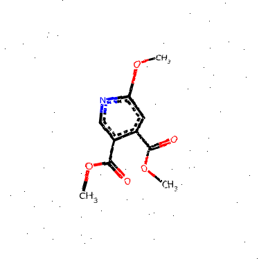 COC(=O)c1cnc(OC)cc1C(=O)OC